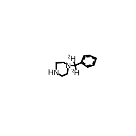 [2H]C([2H])(c1ccccc1)N1CCNCC1